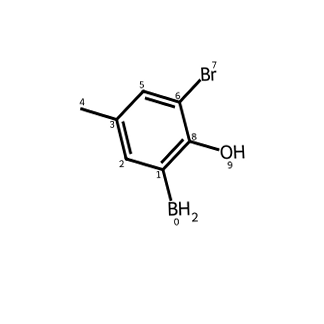 Bc1cc(C)cc(Br)c1O